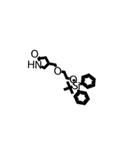 CC(C)(C)[Si](OCCOCC1CNC(=O)C1)(c1ccccc1)c1ccccc1